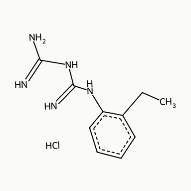 CCc1ccccc1NC(=N)NC(=N)N.Cl